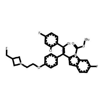 CC/C(=C(/c1ccc(OCCN2CC(CF)C2)cc1)c1cc2ccc(F)cc2n1C(=O)OC(C)(C)C)c1ccc(F)cc1Cl